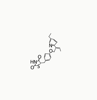 C/C=C(\COc1ccc(CC2SC(=O)NC2=O)cc1)c1ccc(CC)cn1